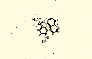 NS(=O)(=O)c1ccc(NCl)cc1.c1ccc2nccnc2c1